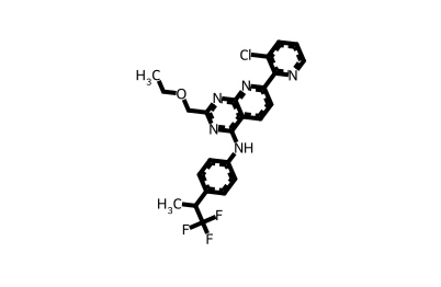 CCOCc1nc(Nc2ccc(C(C)C(F)(F)F)cc2)c2ccc(-c3ncccc3Cl)nc2n1